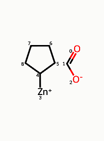 O=C[O-].[Zn+][CH]1CCCC1